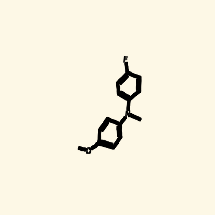 COc1ccc(N(C)c2ccc(F)cc2)cc1